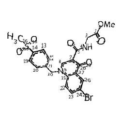 COC(=O)CNC(=O)c1cn(Cc2ccc(S(C)(=O)=O)cc2)c2ccc(Br)cc2c1=O